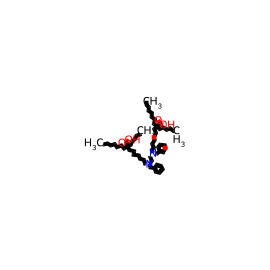 CCCCCCCCC(CCCCCC)(CCCCCCCN(CCN(CCCCCCCC(CCCCCC)(CCCCCCCC)C(=O)O)Cc1ccccc1)Cc1ccccc1)C(=O)O